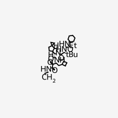 C=CCNC(=O)C(=O)C(CC1CCC1)NC(=O)[C@@H]1[C@H]2CCC3(CC3)[C@H]2CN1C(=O)[C@@H](NC(=O)NC1(CC)CCCCC1)C(C)(C)C